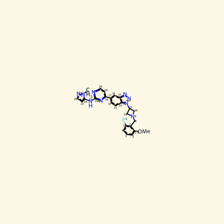 COc1cccc(F)c1CN1CC(n2nnc3cc(-c4ccnc(Nc5ccnn5C)n4)ccc32)C1